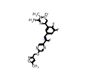 Cc1cc(COc2cnc(/C(F)=C/c3cc(F)c(F)c(C4C[S+]([O-])N(C)C(N)=N4)c3)cn2)no1